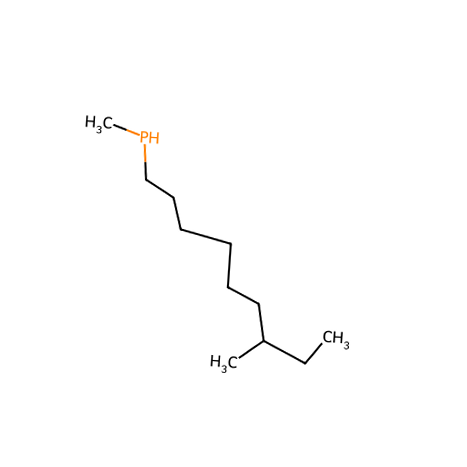 CCC(C)CCCCCCPC